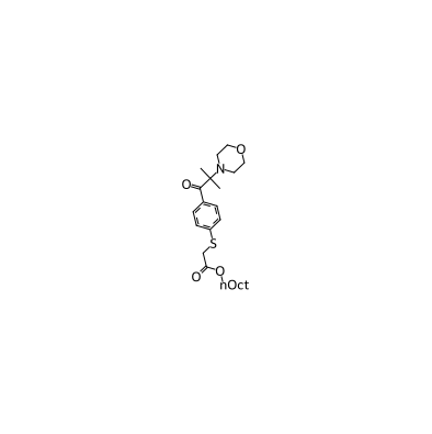 CCCCCCCCOC(=O)CSc1ccc(C(=O)C(C)(C)N2CCOCC2)cc1